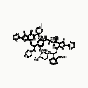 COc1ccccc1C(Cn1nc(C(C)(Cc2ccc(C(Cn3nc(C4(C(=O)O)CCNCC4)c(=O)c4c(C)c(-c5ncco5)sc43)OC3CCOCC3)c(OC)c2)C(=O)O)c(=O)c2c(C)c(-c3ncco3)sc21)OC1CCN(C(C)=O)CC1